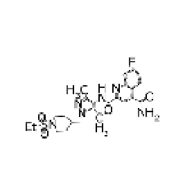 CCS(=O)(=O)N1CCC(Cn2nc(C)c(NC(=O)c3cc(C(N)=O)c4ccc(F)cc4n3)c2C)CC1